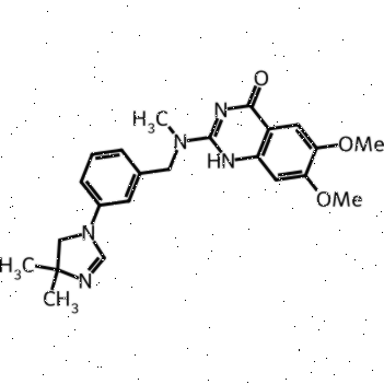 COc1cc2[nH]c(N(C)Cc3cccc(N4C=NC(C)(C)C4)c3)nc(=O)c2cc1OC